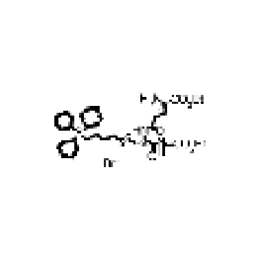 CCOC(=O)CNC(=O)[C@H](CSSCCCC[P+](c1ccccc1)(c1ccccc1)c1ccccc1)NC(=O)CC[C@H](N)C(=O)OCC.[Br-]